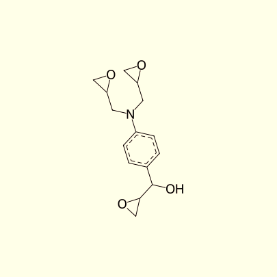 OC(c1ccc(N(CC2CO2)CC2CO2)cc1)C1CO1